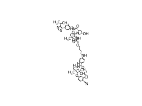 CC(C)c1ncsc1-c1ccc(CNC(=O)[C@@H]2C[C@@H](O)CN2C(=O)C(NC(=O)COCCCCNc2ccc(C(=O)N[C@H]3C(C)(C)[C@H](Oc4ccc(C#N)c(Cl)c4)C3(C)C)cc2)C(C)(C)C)cc1